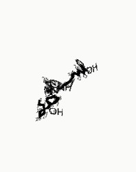 CCCC1(C(O)c2ccc(N(NCCCCCCC(=O)O)S(C)(=O)=O)cc2)CCC1